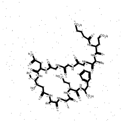 CCC(C)[C@H](NC(=O)C(CCC(=O)O)NC(=O)CCCC(=O)O)C(=O)NCC(=O)NCC(=O)NCC(=O)NC(CC(N)=O)C(=O)N[C@@H](CC(C)C)[C@@H](O)CC(=O)NC(C(=O)N[C@@H](C)C(=O)N[C@@H](CCC(=O)O)C(=O)NC(Cc1ccccc1)C(=O)O)C(C)C